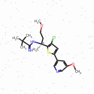 COCC[C@](C)(NC(=N)C(C)(C)C)c1sc(-c2cncc(OC)c2)cc1Cl